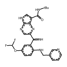 CC(C)(C)NC(=O)c1c[nH]c2ncc(C(=N)c3cc(OC(F)F)ccc3NCc3cccnc3)nc12